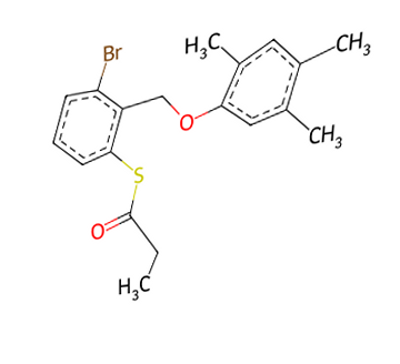 CCC(=O)Sc1cccc(Br)c1COc1cc(C)c(C)cc1C